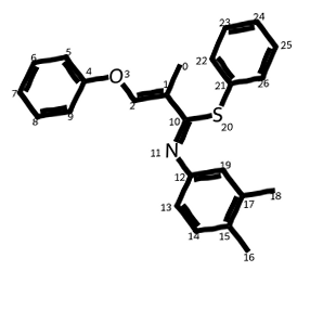 C/C(=C\Oc1ccccc1)C(=Nc1ccc(C)c(C)c1)Sc1ccccc1